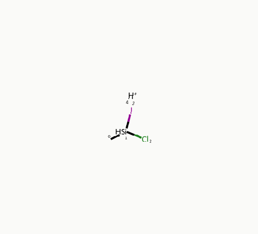 C[SiH](Cl)I.[H+]